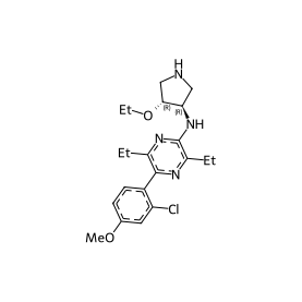 CCO[C@@H]1CNC[C@H]1Nc1nc(CC)c(-c2ccc(OC)cc2Cl)nc1CC